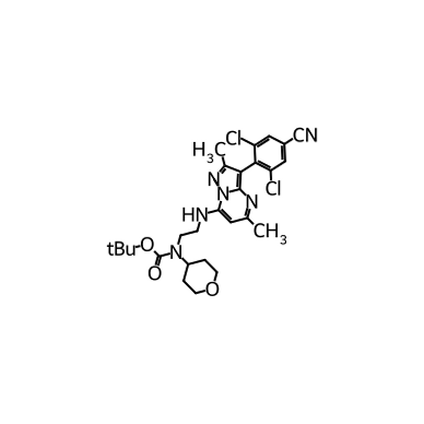 Cc1cc(NCCN(C(=O)OC(C)(C)C)C2CCOCC2)n2nc(C)c(-c3c(Cl)cc(C#N)cc3Cl)c2n1